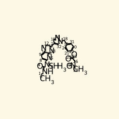 CCNC(=O)N(S)c1ccc2ncc(-c3cnn(Cc4ccc(OC(=O)CN(C)C)cc4)c3)nc2n1